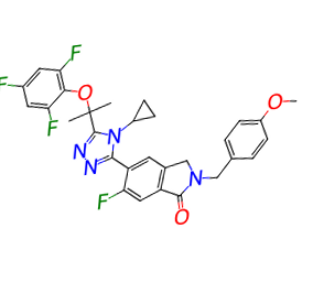 COc1ccc(CN2Cc3cc(-c4nnc(C(C)(C)Oc5c(F)cc(F)cc5F)n4C4CC4)c(F)cc3C2=O)cc1